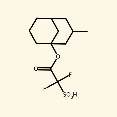 CC1CC2CCCC(OC(=O)C(F)(F)S(=O)(=O)O)(C1)C2